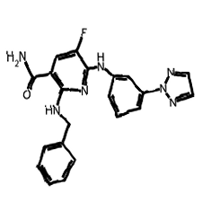 NC(=O)c1cc(F)c(Nc2cccc(-n3nccn3)c2)nc1NCc1ccccc1